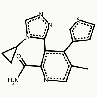 Cc1cnc(C(N)=O)c(-c2nncn2C2CC2)c1-c1ccsc1